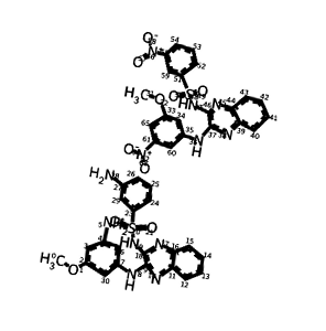 COc1cc(N)cc(Nc2nc3ccccc3nc2NS(=O)(=O)c2cccc(N)c2)c1.COc1cc(Nc2nc3ccccc3nc2NS(=O)(=O)c2cccc([N+](=O)[O-])c2)cc([N+](=O)[O-])c1